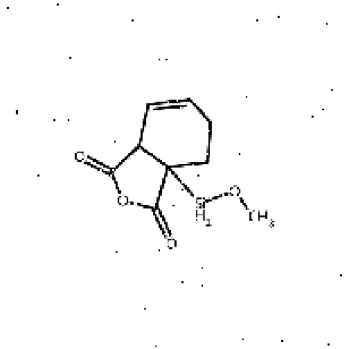 CO[SiH2]C12CCC=CC1C(=O)OC2=O